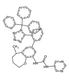 CC1CCCOc2c(NC(=O)Nc3cncnc3)cc(-c3ccccc3-c3nnnn3C(c3ccccc3)(c3ccccc3)c3ccccc3)cc21